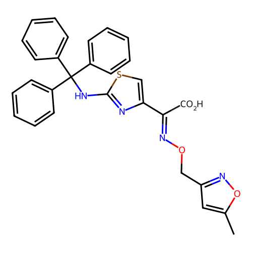 Cc1cc(CON=C(C(=O)O)c2csc(NC(c3ccccc3)(c3ccccc3)c3ccccc3)n2)no1